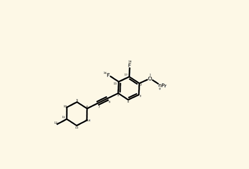 CCCOc1ccc(C#CC2CCC(C)CC2)c(F)c1F